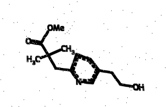 COC(=O)C(C)(C)Cc1ccc(CCO)cn1